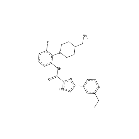 CCc1cc(-c2c[nH]c(C(=O)Nc3cccc(F)c3N3CCC(CN)CC3)n2)ccn1